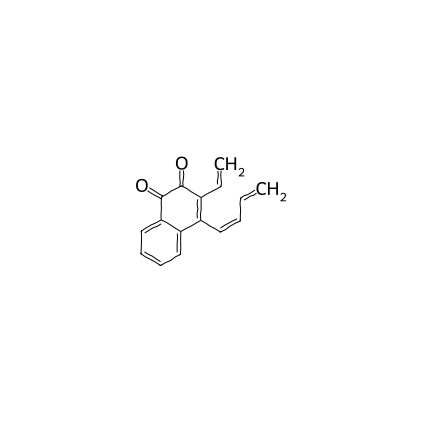 C=C/C=C\C1=C(C=C)C(=O)C(=O)c2ccccc21